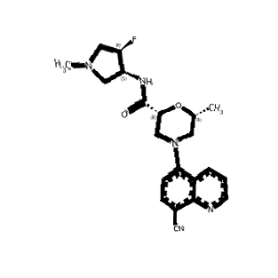 C[C@@H]1CN(c2ccc(C#N)c3ncccc23)C[C@H](C(=O)N[C@H]2CN(C)C[C@H]2F)O1